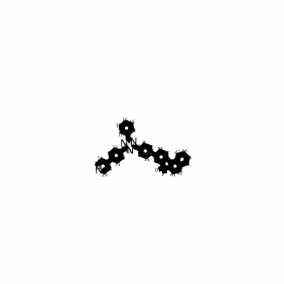 CC1(C)c2cc(-c3ccc(-c4nc(-c5ccccc5)nc(-c5ccc(-c6ccncc6)cc5)n4)cc3)ccc2-c2c1ccc1ccccc21